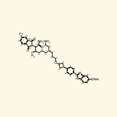 COc1ccc2nc(-c3ccc(N4CC(OCCCN(CCN)CCCC(C)C(C(N)=O)N5C(=O)c6ccc(F)cc6C5=O)C4)cc3)sc2c1